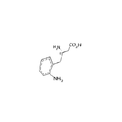 Nc1ccccc1C[C@H](N)CC(=O)O